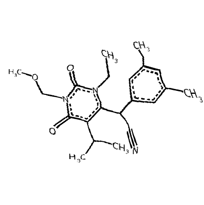 CCn1c(C(C#N)c2cc(C)cc(C)c2)c(C(C)C)c(=O)n(COC)c1=O